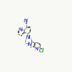 N#Cc1ccc(N2CCN3Cc4nc(Cl)ccc4C3C2)c2cccnc12